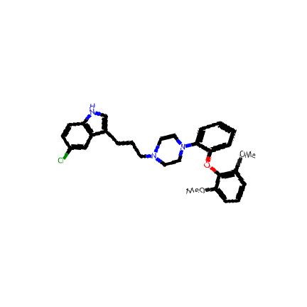 COc1cccc(OC)c1Oc1ccccc1N1CCN(CCCc2c[nH]c3ccc(Cl)cc23)CC1